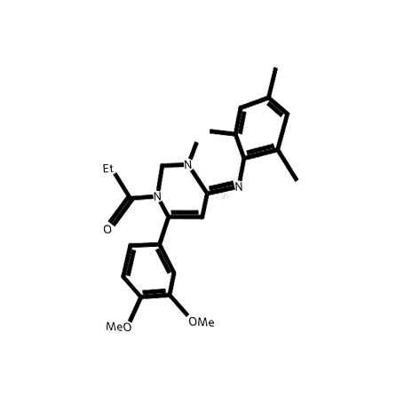 CCC(=O)N1CN(C)/C(=N\c2c(C)cc(C)cc2C)C=C1c1ccc(OC)c(OC)c1